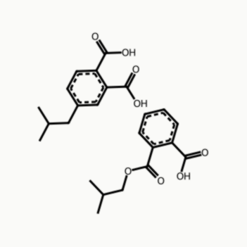 CC(C)COC(=O)c1ccccc1C(=O)O.CC(C)Cc1ccc(C(=O)O)c(C(=O)O)c1